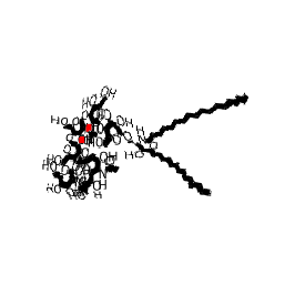 CCCCCCCCCCCCC/C=C/[C@@H](O)[C@H](CO[C@@H]1OC(CO)[C@@H](O[C@@H]2OC(CO)[C@H](O)[C@H](O[C@@H]3OC(CO)[C@@H](O[C@@H]4OC(CO)[C@H](O[C@@H]5OC(CO)[C@H](O)[C@H](O)C5NC(C)=O)[C@H](O[C@]5(C(=O)O)CC(O)[C@@H](NC(C)=O)C([C@H](O)[C@H](O)CO)O5)C4O)[C@H](O)C3NC(C)=O)C2O)[C@H](O)C1O)NC(=O)CCCCCCCCCCCCCCCCC